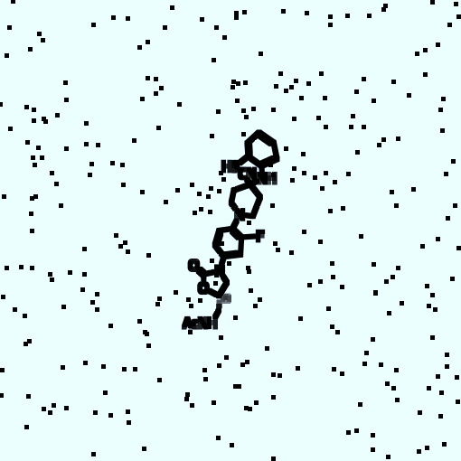 [C-]#[N+]C1(Nc2ccccc2S)CCN(c2ccc(N3C[C@H](CNC(C)=O)OC3=O)cc2F)CC1